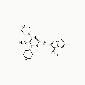 Cn1c(/C=C/c2nc(N3CCOCC3)c(N)c(N3CCOCC3)n2)cc2sccc21